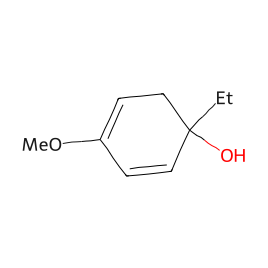 CCC1(O)C=CC(OC)=CC1